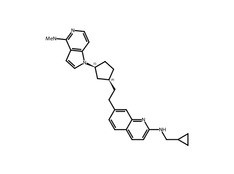 CNc1nccc2c1ccn2[C@H]1CC[C@@H](CCc2ccc3ccc(NCC4CC4)nc3c2)C1